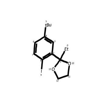 CCC1(c2cc(C(C)(C)C)ccc2I)OCCO1